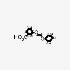 O=C(O)c1cccc(OCCOc2ccccc2)c1